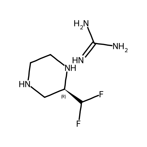 FC(F)[C@H]1CNCCN1.N=C(N)N